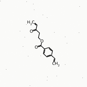 C=CC(=O)CCOC(=O)c1ccc(C=C)cc1